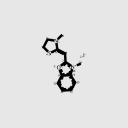 CN1CCS/C1=C\c1oc2ccccc2[n+]1C.[I-]